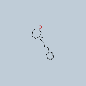 CC1(CCCCc2ccccc2)CCCCC(=O)C1